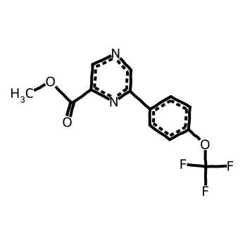 COC(=O)c1cncc(-c2ccc(OC(F)(F)F)cc2)n1